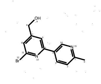 Cc1ccc(-c2cc(CO)cc(Br)n2)cn1